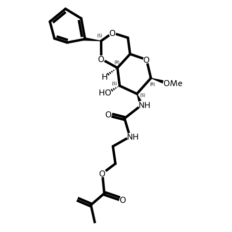 C=C(C)C(=O)OCCNC(=O)N[C@@H]1[C@H](OC)OC2CO[C@H](c3ccccc3)O[C@@H]2[C@H]1O